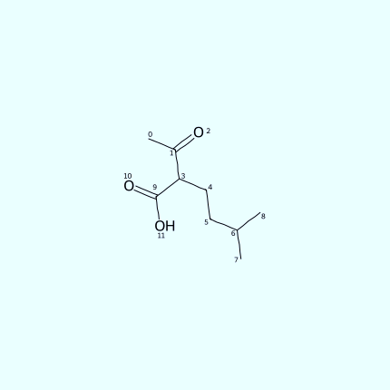 CC(=O)C(CCC(C)C)C(=O)O